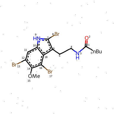 CCCCC(=O)NCCc1c(Br)[nH]c2cc(Br)c(OC)c(Br)c12